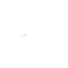 CCCCCCCCCCCCCCCCCCCCCCCCCCO[C@H](CC(=O)O)C[N+](C)(C)C